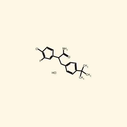 CC(C)(C)c1ccc(CC(C(N)=O)c2ccc(Cl)c(F)c2)cc1.Cl